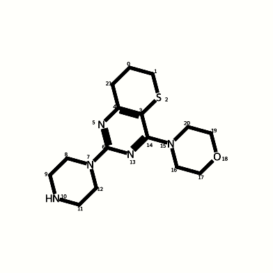 C1CSc2c(nc(N3CCNCC3)nc2N2CCOCC2)C1